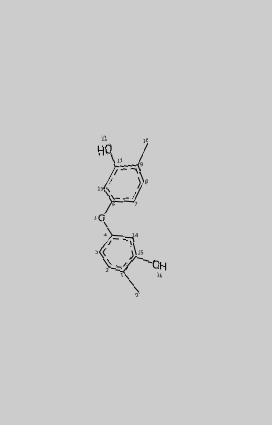 Cc1ccc(Oc2ccc(C)c(O)c2)cc1O